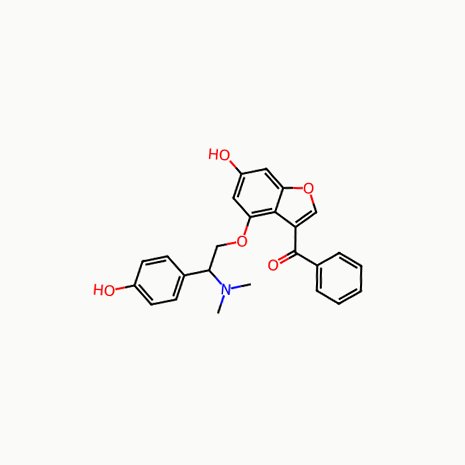 CN(C)C(COc1cc(O)cc2occ(C(=O)c3ccccc3)c12)c1ccc(O)cc1